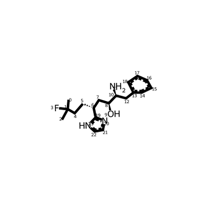 CC(C)(F)CC[C@H](C[C@H](O)[C@@H](N)Cc1ccccc1)c1ncc[nH]1